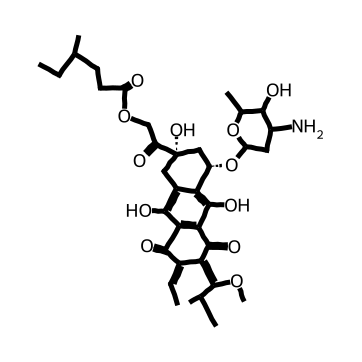 C/C=C1/C(=O)c2c(O)c3c(c(O)c2C(=O)/C1=C(\OC)C(C)C)[C@@H](OC1CC(N)C(O)C(C)O1)C[C@](O)(C(=O)COC(=O)CCC(C)CC)C3